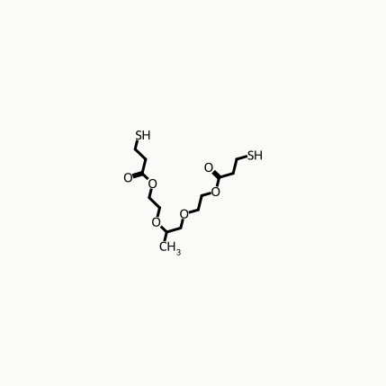 CC(COCCOC(=O)CCS)OCCOC(=O)CCS